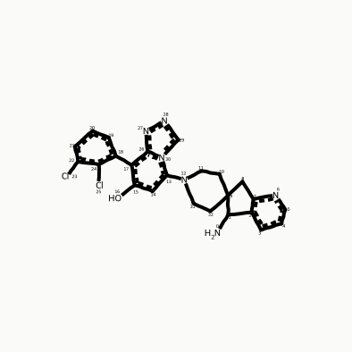 NC1c2cccnc2CC12CCN(c1cc(O)c(-c3cccc(Cl)c3Cl)c3nncn13)CC2